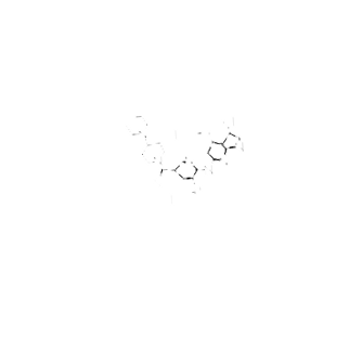 COc1cc(C(=O)N2CCC(N3CCOCC3)CC2)cnc1Nc1cc(OC)c2c(C)c[nH]c2n1